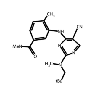 CNC(=O)c1ccc(C)c(Nc2nc(N(C)CC(C)(C)C)ncc2C#N)c1